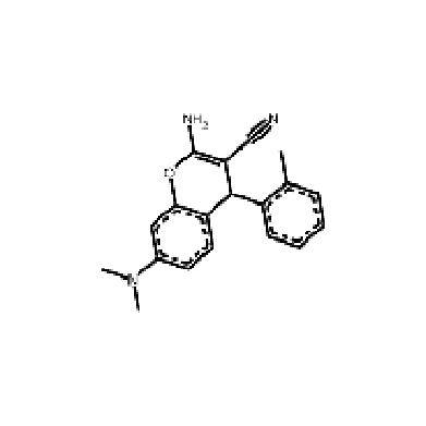 Cc1ccccc1C1C(C#N)=C(N)Oc2cc(N(C)C)ccc21